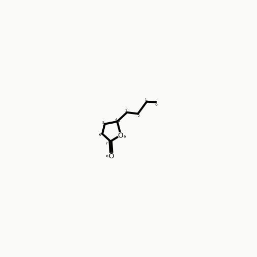 CCCC[C]1CCC(=O)O1